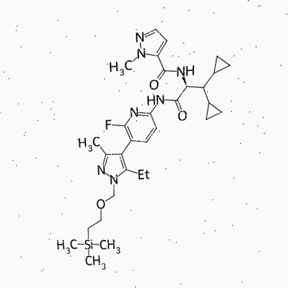 CCc1c(-c2ccc(NC(=O)[C@@H](NC(=O)c3ccnn3C)C(C3CC3)C3CC3)nc2F)c(C)nn1COCC[Si](C)(C)C